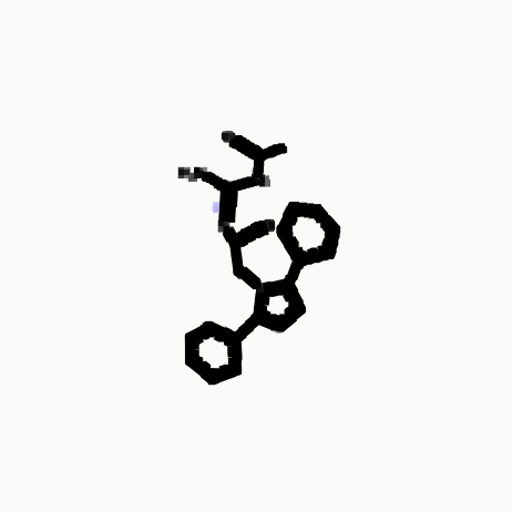 CC(=O)N/C(N)=N\C(=O)Cn1c(-c2ccccc2)ccc1-c1ccccc1